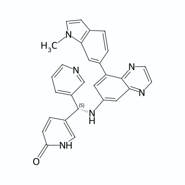 Cn1ccc2ccc(-c3cc(N[C@@H](c4cccnc4)c4ccc(=O)[nH]c4)cc4nccnc34)cc21